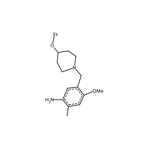 CCOC1CCN(Cc2cc(N)c(C)cc2OC)CC1